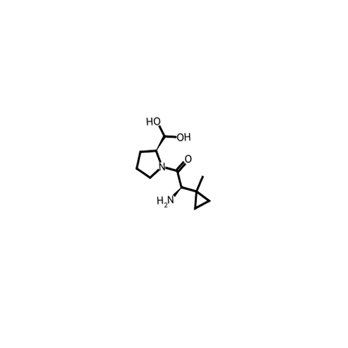 CC1([C@@H](N)C(=O)N2CCC[C@H]2C(O)O)CC1